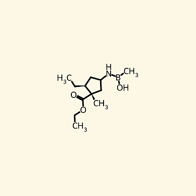 CCOC(=O)[C@@]1(C)CC(NB(C)O)C[C@@H]1CC